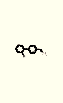 C=Cc1ccc(-c2ccccc2Br)cc1